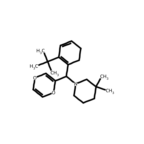 CC1(C)CCCN(C(C2=COC=CO2)C2=C(C(C)(C)C)C=CCC2)C1